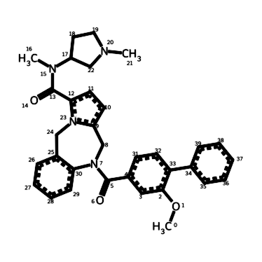 COc1cc(C(=O)N2Cc3ccc(C(=O)N(C)C4CCN(C)C4)n3Cc3ccccc32)ccc1-c1ccccc1